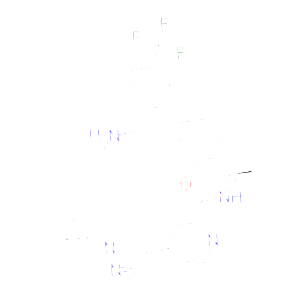 C[C@@H](NC(=O)c1cc(-c2cnn(C3CC3)c2)ccn1)c1ccc(-c2cc(C(F)(F)F)ccc2CN)cc1